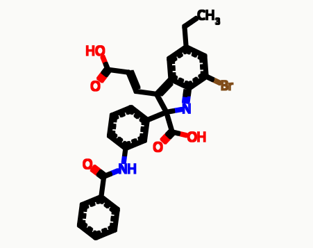 CCc1cc(Br)c2c(c1)=C(C=CC(=O)O)C(C(=O)O)(c1cccc(NC(=O)c3ccccc3)c1)N=2